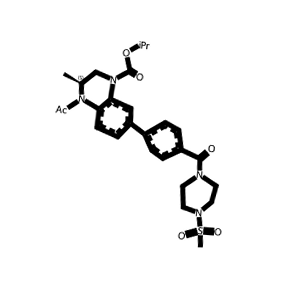 CC(=O)N1c2ccc(-c3ccc(C(=O)N4CCN(S(C)(=O)=O)CC4)cc3)cc2N(C(=O)OC(C)C)C[C@@H]1C